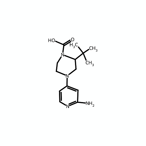 CC(C)(C)C1CN(c2ccnc(N)c2)CCN1C(=O)O